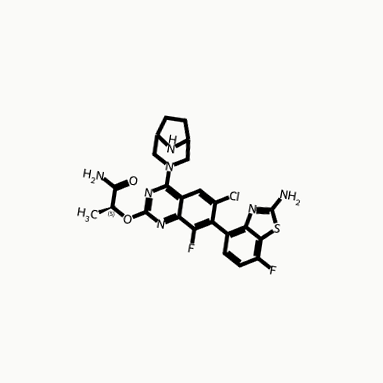 C[C@H](Oc1nc(N2CC3CCC(C2)N3)c2cc(Cl)c(-c3ccc(F)c4sc(N)nc34)c(F)c2n1)C(N)=O